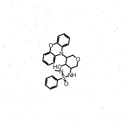 CN=S(=O)(NC1COCC(N2c3ccccc3Oc3ccccc32)C1O)c1ccccc1